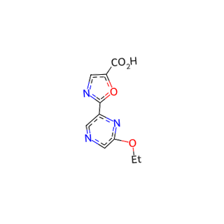 CCOc1cncc(-c2ncc(C(=O)O)o2)n1